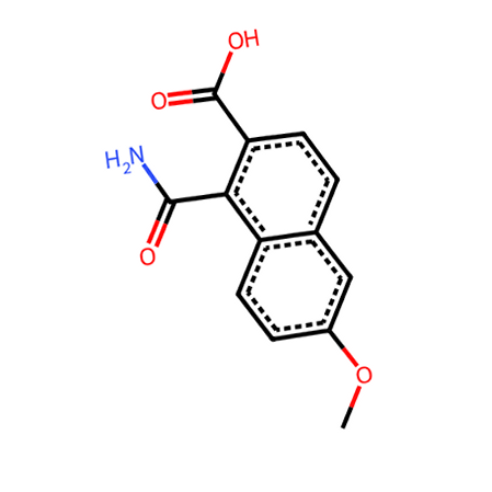 COc1ccc2c(C(N)=O)c(C(=O)O)ccc2c1